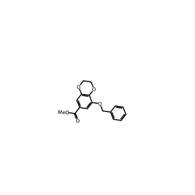 COC(=O)c1cc2c(c(OCc3ccccc3)c1)OCCO2